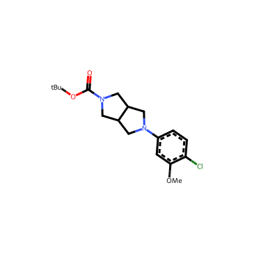 COc1cc(N2CC3CN(C(=O)OC(C)(C)C)CC3C2)ccc1Cl